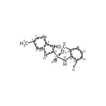 Cc1cnc2nc(S(=O)(=O)Nc3c(F)cccc3C(=O)O)nn2c1